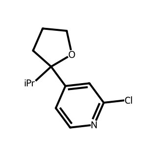 CC(C)C1(c2ccnc(Cl)c2)CCCO1